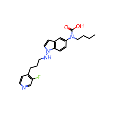 CCCCN(C(=O)O)c1ccc2c(ccn2NCCCc2ccncc2F)c1